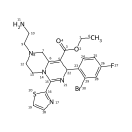 CCOC(=O)C1=C2CN(CCN)CCN2C(c2nccs2)=NC1c1ccc(F)cc1Br